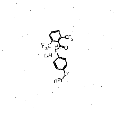 CCCOc1ccc(PC(=O)c2c(C(F)(F)F)cccc2C(F)(F)F)cc1.[LiH]